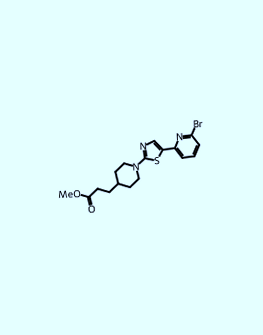 COC(=O)CCC1CCN(c2ncc(-c3cccc(Br)n3)s2)CC1